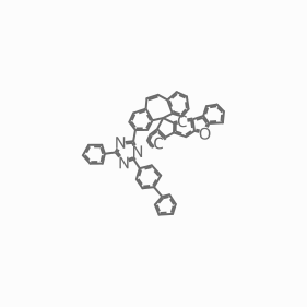 C1=Cc2ccc(-c3nc(-c4ccccc4)nc(-c4ccc(-c5ccccc5)cc4)n3)cc2C2(c3ccccc31)c1ccccc1-c1cc3oc4ccccc4c3cc12